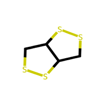 C1SSC2CSSC12